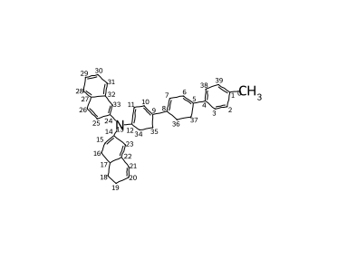 Cc1ccc(C2=CC=C(C3=CC=C(N(C4=CCC5CCC=CC5=C4)c4ccc5ccccc5c4)CC3)CC2)cc1